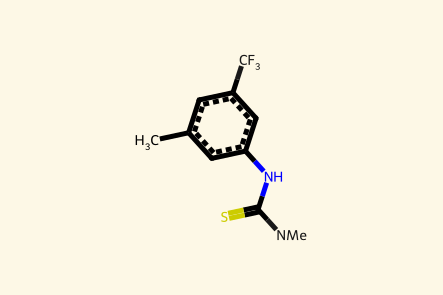 CNC(=S)Nc1cc(C)cc(C(F)(F)F)c1